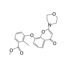 COC(=O)c1cccc(Oc2cccc3c(=O)cc(N4CCOCC4)oc23)c1C